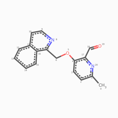 Cc1ccc(OCc2nccc3ccccc23)c(C=O)n1